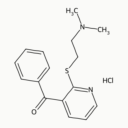 CN(C)CCSc1ncccc1C(=O)c1ccccc1.Cl